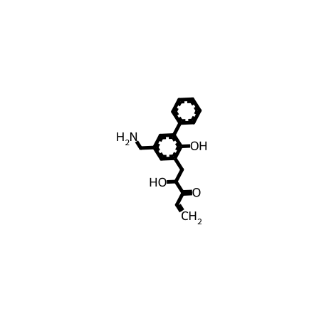 C=CC(=O)C(O)Cc1cc(CN)cc(-c2ccccc2)c1O